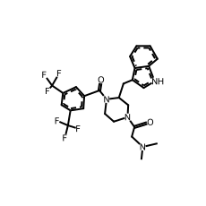 CN(C)CC(=O)N1CCN(C(=O)c2cc(C(F)(F)F)cc(C(F)(F)F)c2)C(Cc2c[nH]c3ccccc23)C1